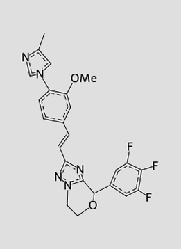 COc1cc(/C=C/c2nc3n(n2)CCOC3c2cc(F)c(F)c(F)c2)ccc1-n1cnc(C)c1